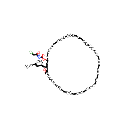 CC(C)CCCC1=CC(OC(=O)NC(=O)CCl)CCCCCCCCCCCCCCCCCCCCCCCCCCCCCCCCCCCCCCCCCCCCCCCCC12CO2